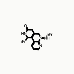 CCCNN1CC2=C(c3cccnc31)C(C(C)C)NC(=O)C2